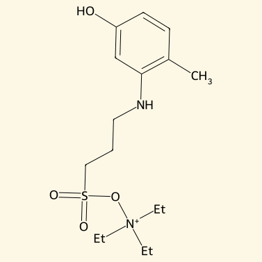 CC[N+](CC)(CC)OS(=O)(=O)CCCNc1cc(O)ccc1C